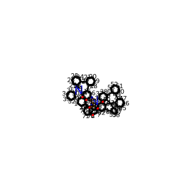 c1ccc(-c2ccccc2N(c2ccc3c(c2)-c2ccccc2-c2ccccc2N3c2ccccc2)c2ccc3c(c2)C2(c4ccccc4-c4ccccc4-3)c3ccccc3-c3cc4c(cc32)sc2ccccc24)cc1